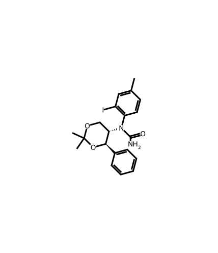 Cc1ccc(N(C(N)=O)[C@H]2COC(C)(C)O[C@@H]2c2ccccc2)c(I)c1